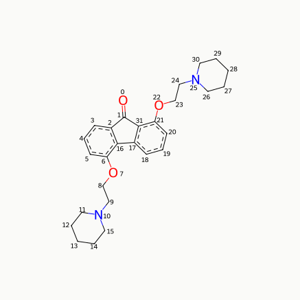 O=C1c2cccc(OCCN3CCCCC3)c2-c2cccc(OCCN3CCCCC3)c21